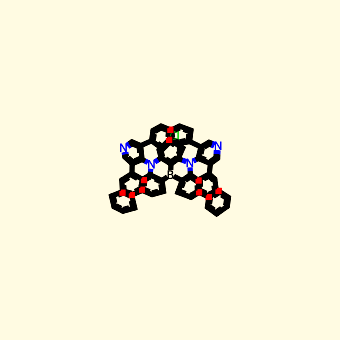 Clc1cc2c3c(c1)N(c1c(-c4ccccc4)cncc1-c1ccccc1)c1cc(-c4ccccc4)ccc1B3c1ccc(-c3ccccc3)cc1N2c1c(-c2ccccc2)cncc1-c1ccccc1